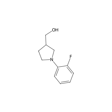 OCC1CCN(c2ccccc2F)C1